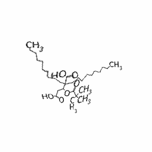 CCCCCCCCCCC(CCCCCCCCCC)(C(=O)O)C(CC(=O)O)OC(=O)C(C)(C)C